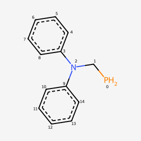 PCN(c1ccccc1)c1ccccc1